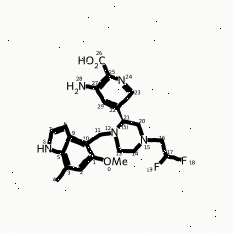 COc1cc(C)c2[nH]ccc2c1CN1CCN(CC(F)F)C[C@@H]1c1cnc(C(=O)O)c(N)c1